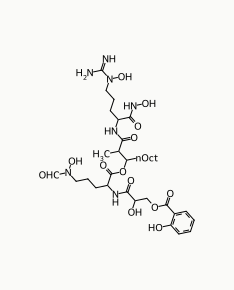 CCCCCCCCC(OC(=O)C(CCCN(O)C=O)NC(=O)C(O)COC(=O)c1ccccc1O)C(C)C(=O)NC(CCCN(O)C(=N)N)C(=O)NO